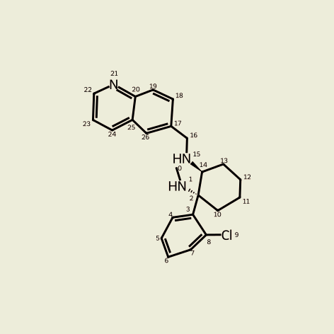 CN[C@@]1(c2ccccc2Cl)CCCC[C@@H]1NCc1ccc2ncccc2c1